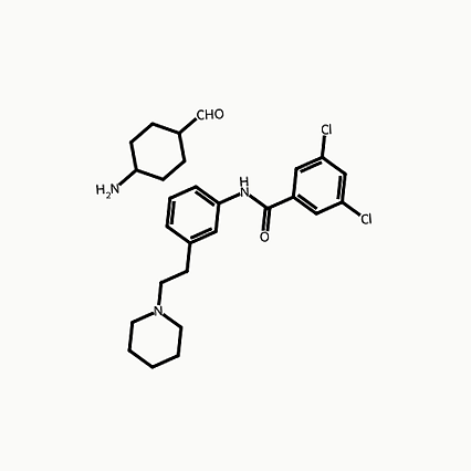 NC1CCC(C=O)CC1.O=C(Nc1cccc(CCN2CCCCC2)c1)c1cc(Cl)cc(Cl)c1